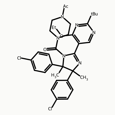 CCOc1nc(C(C)(C)C)ncc1C1=NC(C)(c2ccc(Cl)cc2)C(C)(c2ccc(Cl)cc2)N1C(=O)N1CCN(C(C)=O)CC1